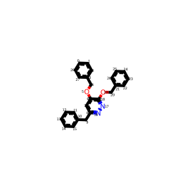 c1ccc(COc2cc(Cc3ccccc3)nnc2OCc2ccccc2)cc1